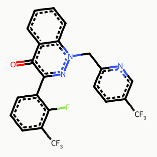 O=c1c(-c2cccc(C(F)(F)F)c2F)nn(Cc2ccc(C(F)(F)F)cn2)c2ccccc12